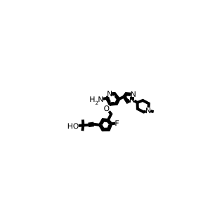 CN1CCC(n2cc(-c3cnc(N)c(OCc4cc(C#CC(C)(C)O)ccc4F)c3)cn2)CC1